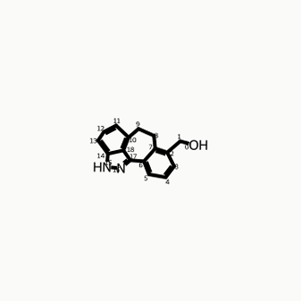 OCc1cccc2c1CCc1cccc3[nH]nc-2c13